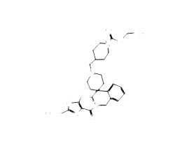 CCOC(=O)N1CCC(CN2CCC3(CC2)CN(C(=O)c2nc(C)oc2C)Cc2ccccc23)CC1